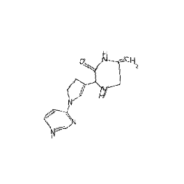 C=C1CNC(C2=CN(c3ccncn3)CC2)C(=O)N1